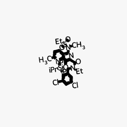 CCN(Cc1cc(Cl)cc(Cl)c1)C(=O)c1nc(N(C)S(=O)(=O)CC)c2ccc(C)nc2c1O[Si](C(C)C)(C(C)C)C(C)C